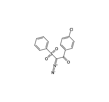 [N-]=[N+]=C(C(=O)c1ccc(Cl)cc1)S(=O)(=O)c1ccccc1